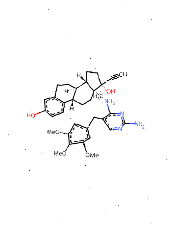 C#C[C@]1(O)CC[C@H]2[C@@H]3CCc4cc(O)ccc4[C@H]3CC[C@@]21C.COc1cc(Cc2cnc(N)nc2N)cc(OC)c1OC